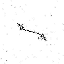 CC1=C(/C=C/C(C)=C/C=C/C(C)=C/C=C/C=C(C)/C=C/C=C(C)/C=C/C2=C(C)C(O)C(N3CCSCC3)CC2(C)C)C(C)(C)CC(N2CCSCC2)C1=O